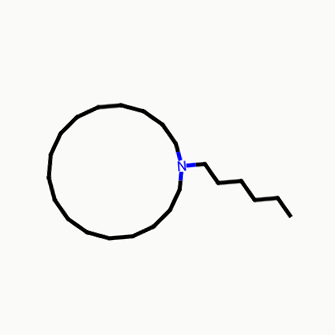 CCCCCCN1CCCCCCCCCCCCCCCCC1